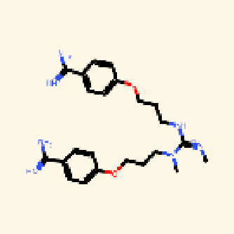 C/N=C(/NCCCOc1ccc(C(=N)N)cc1)N(C)CCCOc1ccc(C(=N)N)cc1